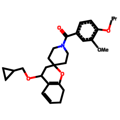 COc1cc(C(=O)N2CCC3(CC2)CC(OCC2CC2)C2=C(CCC=C2)O3)ccc1OC(C)C